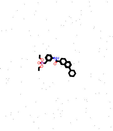 CCOP(=O)(Cc1cccc(NC(=O)C2=Cc3cc(C4CCCCC4)ccc3CC2)c1)OCC